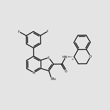 CC(C)(C)c1c(C(=O)N[C@H]2CCOc3ccccc32)sc2c(-c3cc(F)cc(F)c3)ccnc12